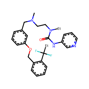 CCN(CCN(C)Cc1cccc(OCc2ccccc2C(F)(F)CC)c1)C(=O)Nc1cccnc1